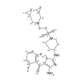 Nc1nc(NC2CCN(S(=O)(=O)CCN(CC3CC3)CC3CC3)CC2)sc1C(=O)c1c(F)cccc1F